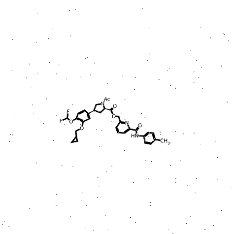 CC(=O)N1C[C@H](c2ccc(OC(F)F)c(OCC3CC3)c2)C[C@@H]1C(=O)OCc1cccc(C(=O)Nc2ccc(C)cc2)n1